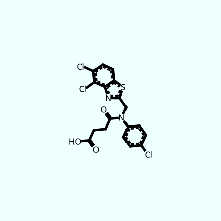 O=C(O)CCC(=O)N(Cc1nc2c(Cl)c(Cl)ccc2s1)c1ccc(Cl)cc1